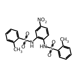 Cc1ccccc1S(=O)(=O)Nc1ccc([N+](=O)[O-])cc1NS(=O)(=O)c1ccccc1C